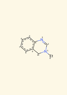 [CH2]CN1C=Nc2ccccc2C1